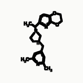 Cc1cc(C[C@H]2CCN(C(C)c3ccc4c(n3)OCCO4)C2)cc(C)n1